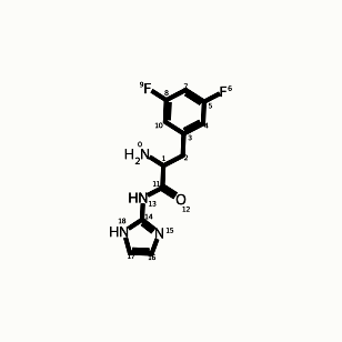 NC(Cc1cc(F)cc(F)c1)C(=O)Nc1ncc[nH]1